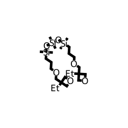 CCC1(COCCC[Si](C)(C)O[Si](C)(C)O[Si](C)(C)CCCOCC2(CC)COC2)COC1